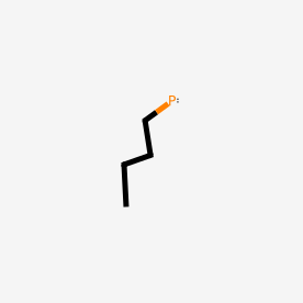 CCCC[P]